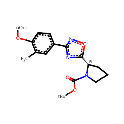 CCCCCCCCOc1ccc(-c2noc([C@@H]3CCCN3C(=O)OC(C)(C)C)n2)cc1C(F)(F)F